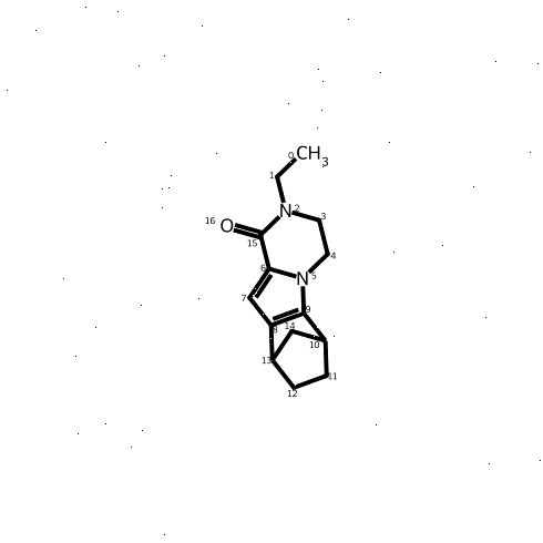 CCN1CCn2c(cc3c2C2CCC3C2)C1=O